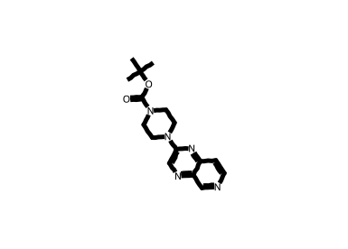 CC(C)(C)OC(=O)N1CCN(c2cnc3cnccc3n2)CC1